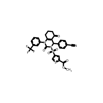 COC(=O)c1cc(S(=O)(=O)N2C(=O)N(c3cccc(C(F)(F)F)c3)C3=C(C(=O)CCC3)C2c2ccc(C#N)cc2)cs1